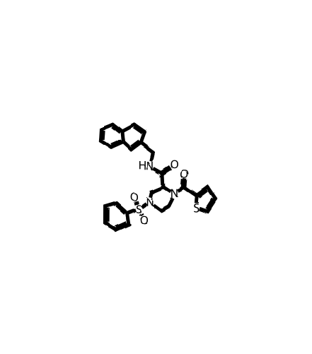 O=C(NCc1ccc2ccccc2c1)C1CN(S(=O)(=O)c2ccccc2)CCN1C(=O)c1cccs1